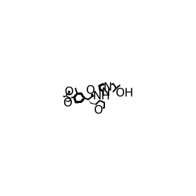 Cc1cc([C@@H](C[C@H]2CCCO2)C(=O)Nc2ccn(CC(C)(C)O)n2)ccc1S(C)(=O)=O